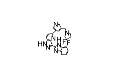 FC1(F)CCN(Cc2cncc(-c3ccc4[nH]nc(-c5nc6ccccc6[nH]5)c4n3)c2)C1